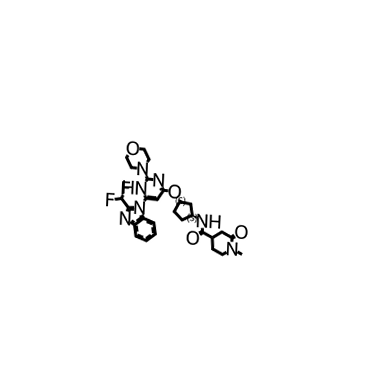 CN1CCC(C(=O)N[C@H]2CC[C@H](OC3=NC(N4CCOCC4)NC(n4c(C(F)F)nc5ccccc54)=C3)C2)CC1=O